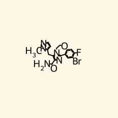 Cn1nccc1Cc1c(C(N)=O)nc2n1CCOc1cc(F)c(Br)cc1-2